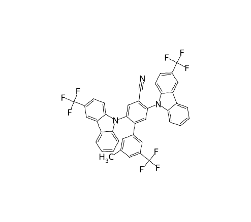 Cc1cc(-c2cc(-n3c4ccccc4c4cc(C(F)(F)F)ccc43)c(C#N)cc2-n2c3ccccc3c3cc(C(F)(F)F)ccc32)cc(C(F)(F)F)c1